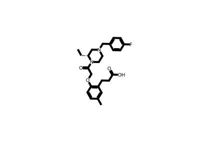 CC[C@@H]1CN(Cc2ccc(F)cc2)CCN1C(=O)COc1ccc(C)cc1CCC(=O)O